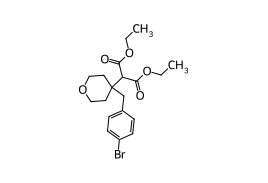 CCOC(=O)C(C(=O)OCC)C1(Cc2ccc(Br)cc2)CCOCC1